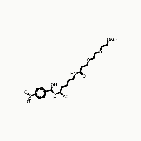 COCCOCCOCCC(=O)NCCCCC(NC(O)c1ccc([SH](=O)=O)cc1)C(C)=O